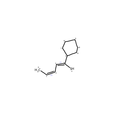 C/C=C\C=C(/S)C1CCCCC1